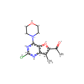 CCCC(=O)c1oc2c(N3CCOCC3)nc(Cl)nc2c1C